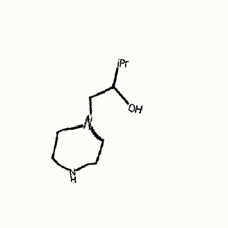 CC(C)C(O)CN1CCNCC1